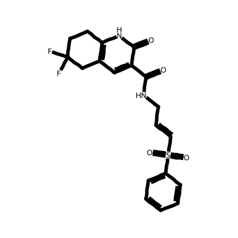 O=C(NC/C=C/S(=O)(=O)c1ccccc1)c1cc2c([nH]c1=O)CCC(F)(F)C2